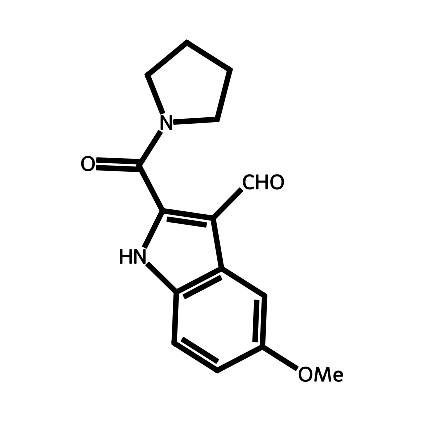 COc1ccc2[nH]c(C(=O)N3CCCC3)c(C=O)c2c1